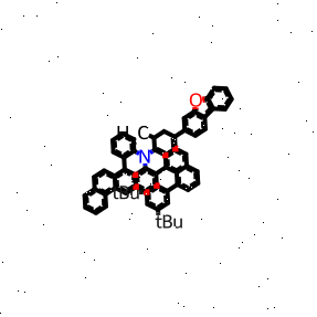 CC1CC(c2ccc3c(c2)oc2ccccc23)=CC=C1N(c1ccccc1-c1cccc2c1ccc1ccccc12)c1ccccc1-c1cccc2cccc(-c3cc(C(C)(C)C)cc(C(C)(C)C)c3)c12